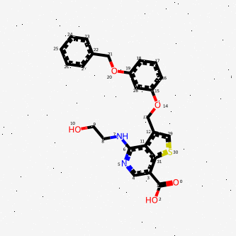 O=C(O)c1cnc(NCCO)c2c(COc3cccc(OCc4ccccc4)c3)csc12